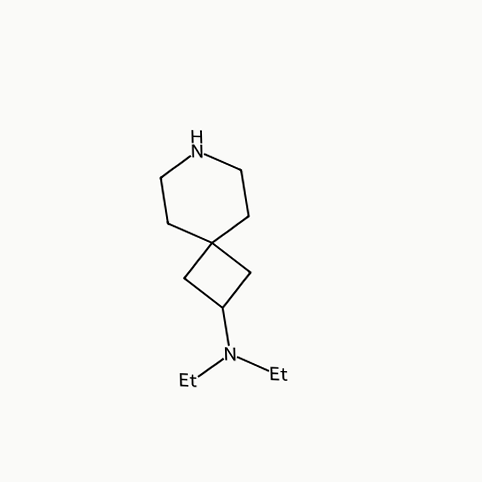 CCN(CC)C1CC2(CCNCC2)C1